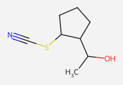 CC(O)C1CCCC1SC#N